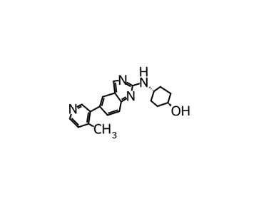 Cc1ccncc1-c1ccc2nc(N[C@H]3CC[C@H](O)CC3)ncc2c1